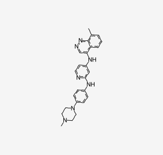 Cc1cccc2c(Nc3ccnc(Nc4ccc(N5CCN(C)CC5)cc4)c3)cnnc12